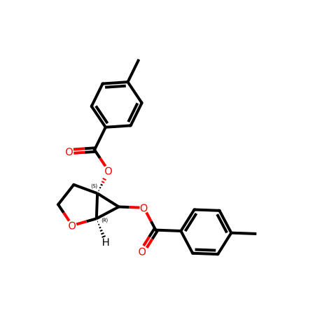 Cc1ccc(C(=O)OC2[C@H]3OCC[C@@]23OC(=O)c2ccc(C)cc2)cc1